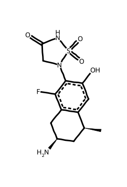 C[C@H]1C[C@@H](N)Cc2c1cc(O)c(N1CC(=O)NS1(=O)=O)c2F